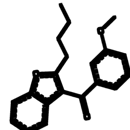 CCCCc1oc2ccccc2c1C(=O)c1cccc(OC)c1